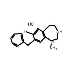 C[C@@H]1CNCCc2cc(F)c(Cc3ccccc3)cc21.Cl